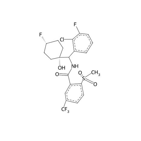 CS(=O)(=O)c1ccc(C(F)(F)F)cc1C(=O)NC(c1cccc(F)c1Cl)[C@]1(O)CC[C@@H](F)CC1